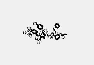 CCC(=O)Nc1cccc(-c2nc(N=Nc3c(Nc4ccc(Cl)cc4)nc(Nc4ccc(Cl)c(S(=O)(=O)O)c4)c(C#N)c3C)sc2N=Nc2ccccc2)c1